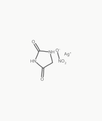 O=C1CNC(=O)N1.O=[N+]([O-])[O-].[Ag+]